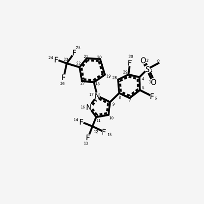 CS(=O)(=O)c1c(F)cc(-c2cc(C(F)(F)F)nn2-c2cccc(C(F)(F)F)c2)cc1F